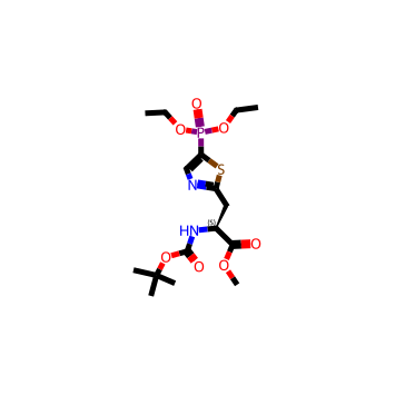 CCOP(=O)(OCC)c1cnc(C[C@H](NC(=O)OC(C)(C)C)C(=O)OC)s1